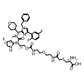 C[C@@H](COC(=O)NCCOCCNC(=O)CSC[C@H](N)C(=O)O)NC(=O)N(C[C@@H]1CNC[C@@H]1F)[C@@H](c1nc(-c2cc(F)ccc2F)cn1Cc1ccccc1)C1CCOCC1